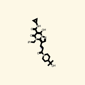 CC(C)Cn1c(=O)c(C(=O)NC2CC2)c(O)n2ncc(/C=C/C(=O)N3CCC(C(C)(C)O)CC3)c12